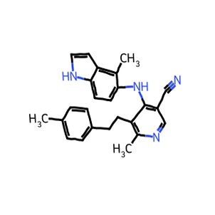 Cc1ccc(CCc2c(C)ncc(C#N)c2Nc2ccc3[nH]ccc3c2C)cc1